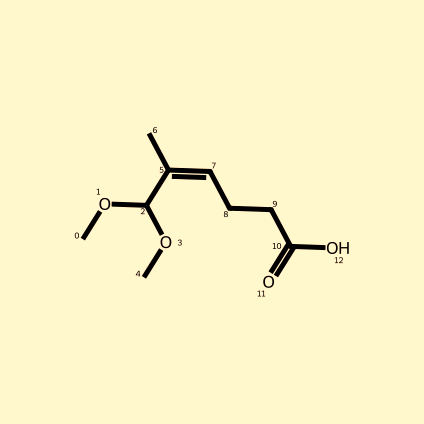 COC(OC)/C(C)=C\CCC(=O)O